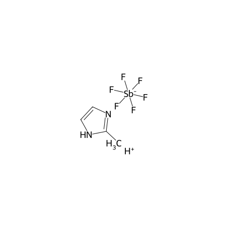 Cc1ncc[nH]1.[F][Sb-]([F])([F])([F])([F])[F].[H+]